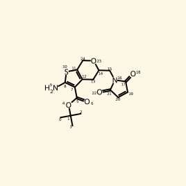 CC(C)(C)OC(=O)c1c(N)sc2c1CC(CN1C(=O)C=CC1=O)OC2